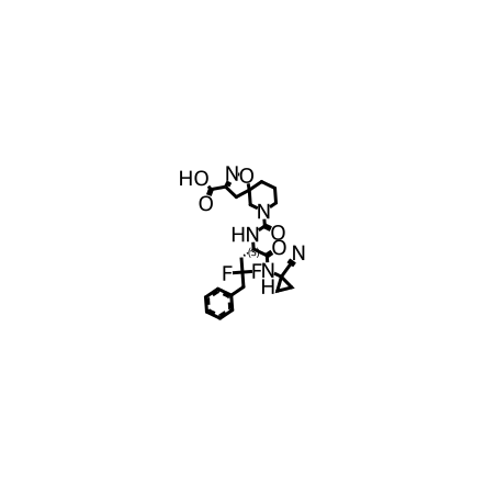 N#CC1(NC(=O)[C@H](CC(F)(F)Cc2ccccc2)NC(=O)N2CCCC3(CC(C(=O)O)=NO3)C2)CC1